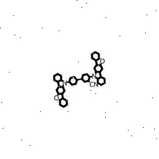 N#Cc1cc(-c2ccc(-n3c4ccccc4c4cc5oc6ccccc6c5cc43)cc2)ccc1-n1c2ccccc2c2cc3oc4ccccc4c3cc21